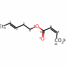 CCC=CCCOC(=O)/C=C\C(=O)O